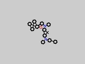 CC1(C)c2cc(N(c3ccccc3)c3ccc(-c4ccccc4)cc3)ccc2-c2ccc(N(c3ccccc3)c3cccc4c3oc3ccc5c(c34)-c3ccccc3C53c4ccccc4-c4ccccc43)cc21